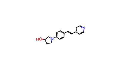 OC1CCN(c2ccc(/C=C/c3ccncc3)cc2)C1